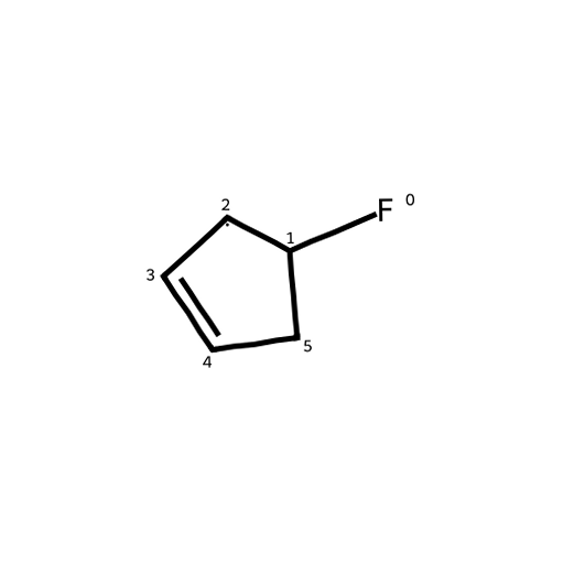 FC1[CH]C=CC1